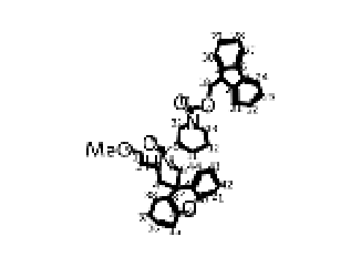 COCCCCC1(CNC(=O)[C@H]2CCCN(C(=O)OCC3c4ccccc4-c4ccccc43)C2)C2=C(C=CCC2)Oc2ccccc21